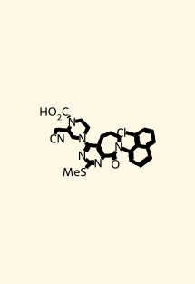 CSc1nc2c(c(N3CCN(C(=O)O)C(CC#N)C3)n1)CCCN(c1cccc3cccc(Cl)c13)C2=O